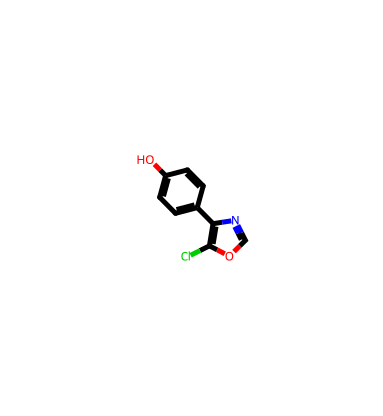 Oc1ccc(-c2ncoc2Cl)cc1